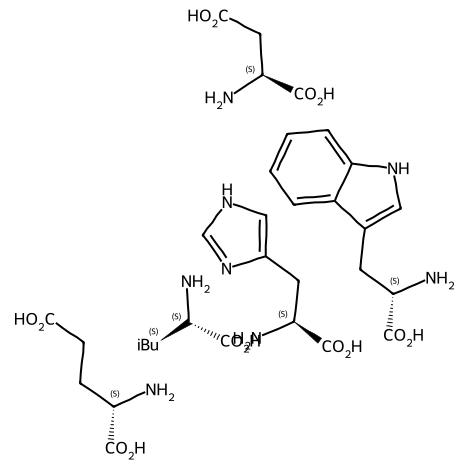 CC[C@H](C)[C@H](N)C(=O)O.N[C@@H](CC(=O)O)C(=O)O.N[C@@H](CCC(=O)O)C(=O)O.N[C@@H](Cc1c[nH]c2ccccc12)C(=O)O.N[C@@H](Cc1c[nH]cn1)C(=O)O